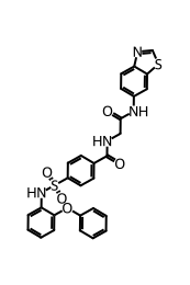 O=C(CNC(=O)c1ccc(S(=O)(=O)Nc2ccccc2Oc2ccccc2)cc1)Nc1ccc2ncsc2c1